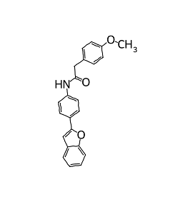 COc1ccc(CC(=O)Nc2ccc(-c3cc4ccccc4o3)cc2)cc1